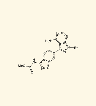 COC(=O)Nc1noc2cc(-c3nn(C(C)C)c4ncnc(N)c34)ccc12